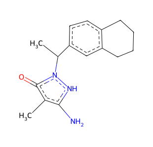 Cc1c(N)[nH]n(C(C)c2ccc3c(c2)CCCC3)c1=O